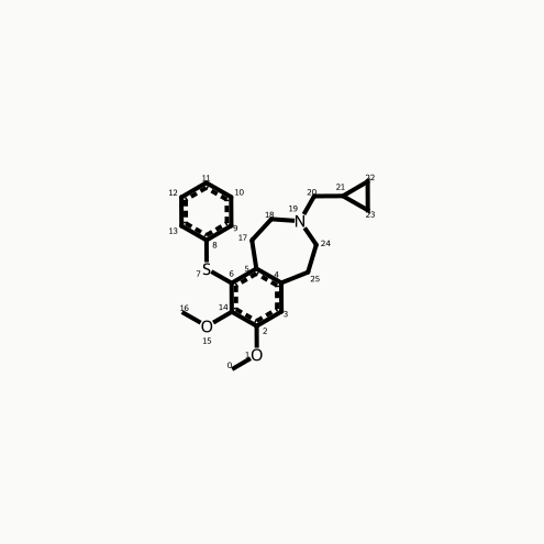 COc1cc2c(c(Sc3ccccc3)c1OC)CCN(CC1CC1)CC2